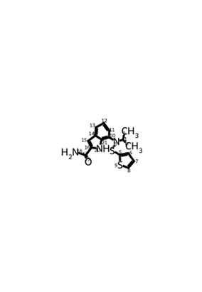 CC(C)N(Sc1cccs1)c1cccc2cc(C(N)=O)[nH]c12